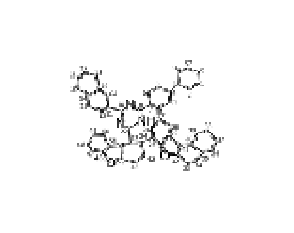 c1ccc(-c2ccc(C3=NC(c4ccc5ccccc5c4)=NC(c4c(-c5cccc6c5oc5ccc7ccccc7c56)ccc5oc6ccccc6c45)N3)cc2)cc1